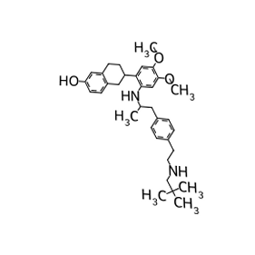 COc1cc(NC(C)Cc2ccc(CCNCC(C)(C)C)cc2)c(C2CCc3cc(O)ccc3C2)cc1OC